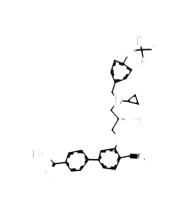 N#Cc1ccc(-c2ccc(C(=O)O)cc2)cc1OC[C@H](O)CN(Cc1ccc(OC(F)(F)F)cc1)C1CC1